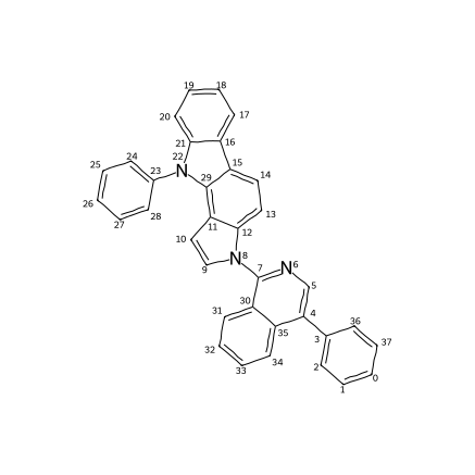 c1ccc(-c2cnc(-n3ccc4c3ccc3c5ccccc5n(-c5ccccc5)c34)c3ccccc23)cc1